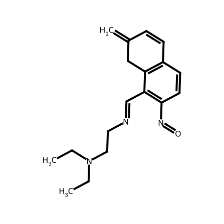 C=C1C=Cc2ccc(N=O)c(/C=N/CCN(CC)CC)c2C1